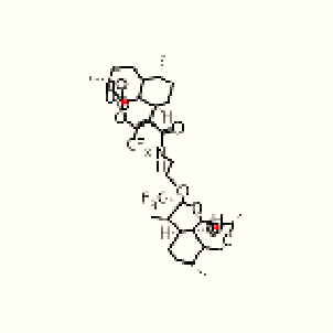 C[C@@H]1CC[C@H]2C(C(=O)NCCO[C@@]3(C(F)(F)F)O[C@@H]4O[C@]5(C)CCC6[C@H](C)CC[C@@H]([C@H]3C)[C@]64OO5)=C(C(F)(F)F)O[C@@H]3O[C@]4(C)CCC1[C@]32OO4